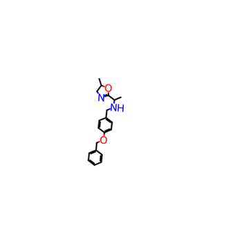 CC1CN=C(C(C)NCc2ccc(OCc3ccccc3)cc2)O1